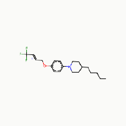 CCCCCC1CCN(c2ccc(OC/C=C/C(F)(F)F)cc2)CC1